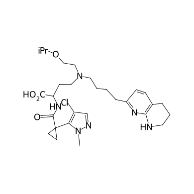 CC(C)OCCN(CCCCc1ccc2c(n1)NCCC2)CCC(NC(=O)C1(c2c(Cl)cnn2C)CC1)C(=O)O